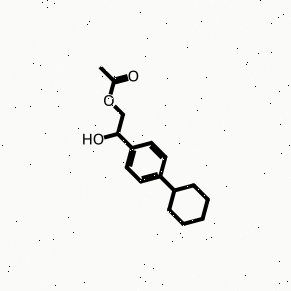 CC(=O)OCC(O)c1ccc(C2CCCCC2)cc1